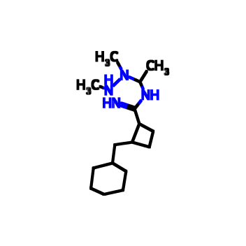 CNN(C)C(C)NC(=N)C1CCC1CC1CCCCC1